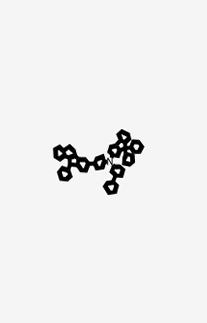 c1ccc(-c2cccc(N(c3ccc(-c4ccc5c(c4)-c4ccc6ccccc6c4C5c4ccccc4)cc3)c3ccc4c(c3)C(c3ccccc3)(c3ccccc3)c3ccccc3-4)c2)cc1